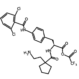 NCCC1(C(=O)N[C@@H](Cc2ccc(NC(=O)c3c(Cl)cccc3Cl)cc2)C(=O)OC(=O)C(F)(F)F)CCCC1